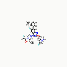 C=C(F)C(=O)N1CCN(c2nc(OC[C@@]34CCCN3C[C@H](F)C4)nc3cc(-c4cccc5c4CC4CC54)c(F)cc23)C[C@@H]1CC#N